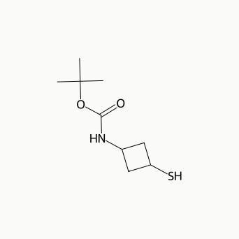 CC(C)(C)OC(=O)NC1CC(S)C1